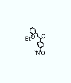 CCOc1ccccc1/C=C/C(=O)c1ccc(C(=O)N(C)C)cc1